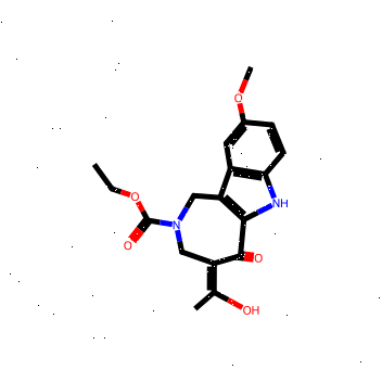 CCOC(=O)N1C/C(=C(\C)O)C(=O)c2[nH]c3ccc(OC)cc3c2C1